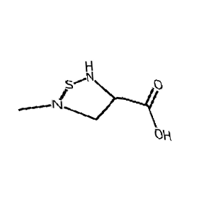 CN1CC(C(=O)O)NS1